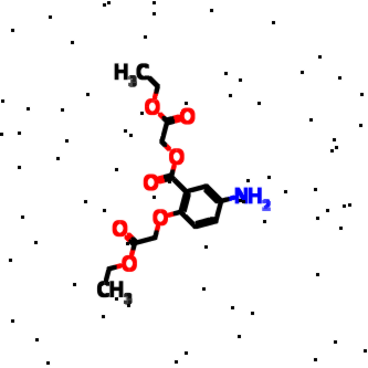 CCOC(=O)COC(=O)c1cc(N)ccc1OCC(=O)OCC